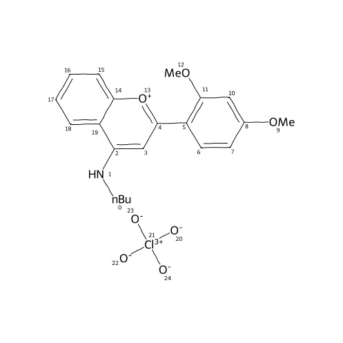 CCCCNc1cc(-c2ccc(OC)cc2OC)[o+]c2ccccc12.[O-][Cl+3]([O-])([O-])[O-]